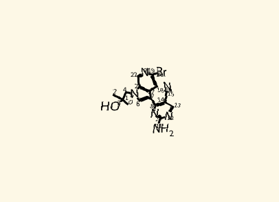 CC(C)(O)Cn1cc(-c2nc(N)ncc2C#N)c2cc(Br)ncc21